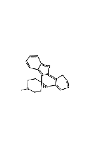 CN1CCC2(CC1)NC1=CC=CCC1=C1N=c3ccccc3=C12